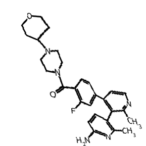 Cc1nc(N)ccc1-c1c(-c2ccc(C(=O)N3CCN(C4CCOCC4)CC3)c(F)c2)ccnc1C